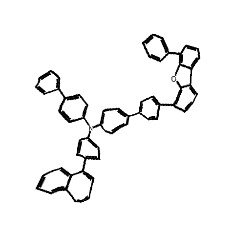 c1ccc(-c2ccc(N(c3ccc(-c4ccc(-c5cccc6c5oc5c(-c7ccccc7)cccc56)cc4)cc3)c3ccc(-c4cccc5ccccc45)cc3)cc2)cc1